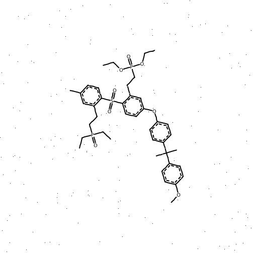 CCOP(=O)(CCc1cc(Oc2ccc(C(C)(C)c3ccc(OC)cc3)cc2)ccc1S(=O)(=O)c1ccc(C)cc1CCP(=O)(CC)CC)OCC